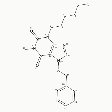 CCCCCCn1c(=O)n(C)c(=O)c2c1ncn2CCc1ccccc1